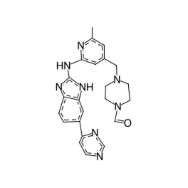 Cc1cc(CN2CCN(C=O)CC2)cc(Nc2nc3ccc(-c4ccncn4)cc3[nH]2)n1